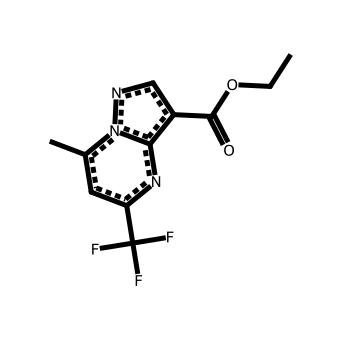 CCOC(=O)c1cnn2c(C)cc(C(F)(F)F)nc12